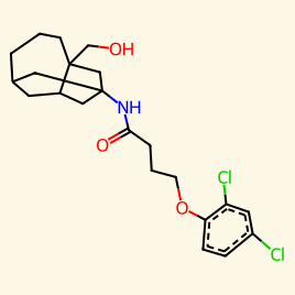 O=C(CCCOc1ccc(Cl)cc1Cl)NC12CC3CCCC(CO)(C1)C(C3)C2